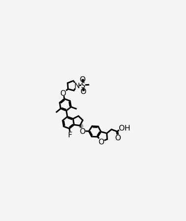 Cc1cc(OC2CCN(S(C)(=O)=O)C2)cc(C)c1-c1ccc(F)c2c1CC[C@H]2Oc1ccc2c(c1)OCC2CC(=O)O